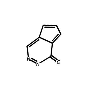 O=C1N=NC=C2C=CC=C12